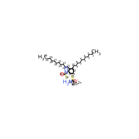 CCCCCCCCCCCc1cccc(NC([O-])=S)c1CCCCCCCCCCC.NC([O-])=S.[Zn+2]